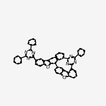 c1ccc(-c2nc(-c3ccccc3)nc(-c3ccc4oc5c(-c6ccc7oc8cccc(-c9nc(-c%10ccccc%10)nc(-c%10ccccc%10)n9)c8c7c6)cccc5c4c3)n2)cc1